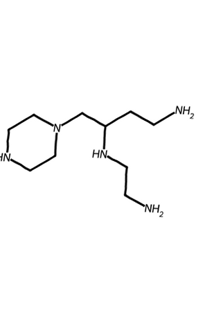 NCCNC(CCN)CN1CCNCC1